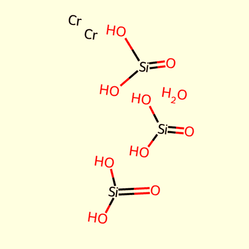 O.O=[Si](O)O.O=[Si](O)O.O=[Si](O)O.[Cr].[Cr]